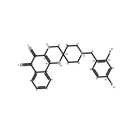 O=C1C(=O)c2ccccc2C2=C1SCC1(CCN(Cc3ccc(F)cc3F)CC1)O2